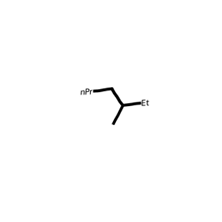 CCCCC(C)CC